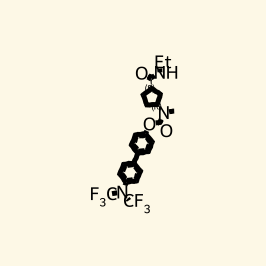 CCNC(=O)[C@H]1CC[C@@H](N(C)C(=O)Oc2ccc(-c3ccc(N(C(F)(F)F)C(F)(F)F)cc3)cc2)C1